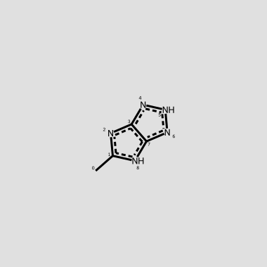 Cc1nc2n[nH]nc2[nH]1